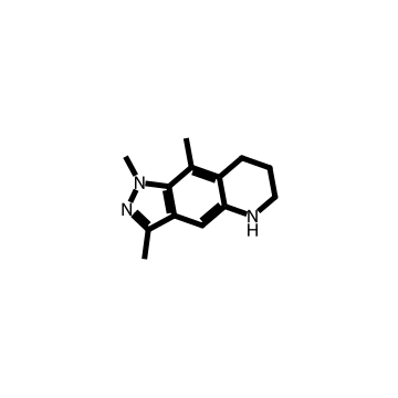 Cc1nn(C)c2c(C)c3c(cc12)NCCC3